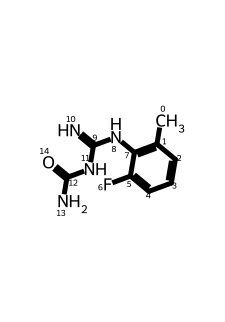 Cc1cccc(F)c1NC(=N)NC(N)=O